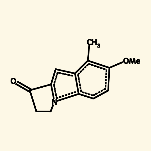 COc1ccc2c(cc3n2CCC3=O)c1C